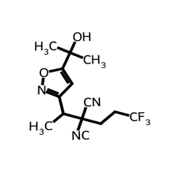 [C-]#[N+]C(C#N)(CCC(F)(F)F)C(C)c1cc(C(C)(C)O)on1